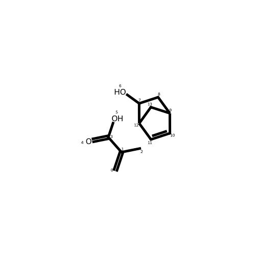 C=C(C)C(=O)O.OC1CC2C=CC1C2